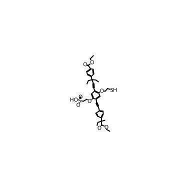 CCOC(=O)c1ccc(C(C#Cc2cc(OCCS(=O)(=O)O)c(C#Cc3ccc(C(C)(CC)C(=O)OCC)cc3)cc2OCCS)(CC)CC)cc1